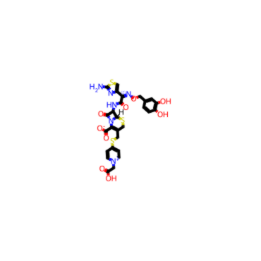 Nc1nc(/C(=N/OCc2ccc(O)c(O)c2)C(=O)NC2C(=O)N3C(C(=O)[O-])=C(CSc4cc[n+](CC(=O)O)cc4)CS[C@H]23)cs1